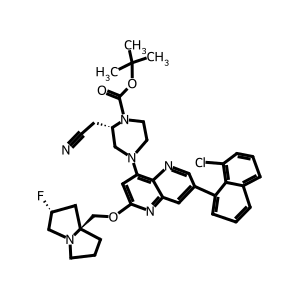 CC(C)(C)OC(=O)N1CCN(c2cc(OC[C@@]34CCCN3C[C@H](F)C4)nc3cc(-c4cccc5cccc(Cl)c45)cnc23)C[C@@H]1CC#N